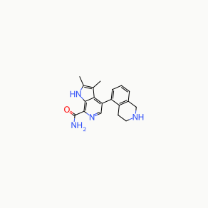 Cc1[nH]c2c(C(N)=O)ncc(-c3cccc4c3CCNC4)c2c1C